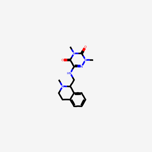 CN1CCc2ccccc2C1CNc1nn(C)c(=O)n(C)c1=O